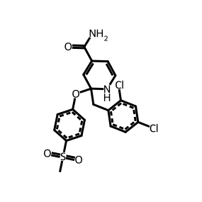 CS(=O)(=O)c1ccc(OC2(Cc3ccc(Cl)cc3Cl)C=C(C(N)=O)C=CN2)cc1